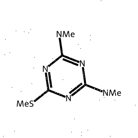 CNc1nc(NC)nc(SC)n1